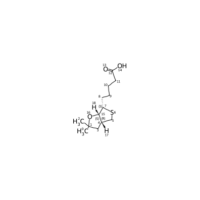 CC1(C)C[C@H]2CS[C@@H](CCCCC(=O)O)[C@H]2O1